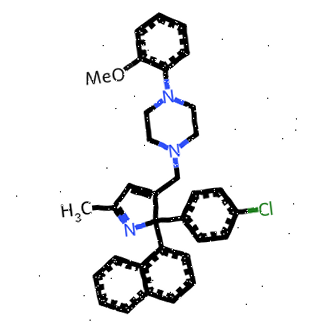 COc1ccccc1N1CCN(CC2=CC(C)=NC2(c2ccc(Cl)cc2)c2cccc3ccccc23)CC1